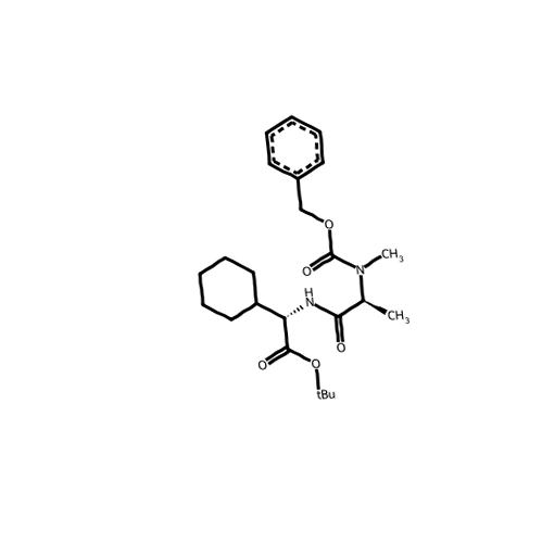 C[C@@H](C(=O)N[C@H](C(=O)OC(C)(C)C)C1CCCCC1)N(C)C(=O)OCc1ccccc1